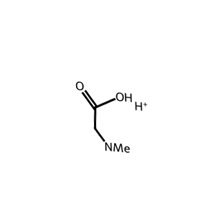 CNCC(=O)O.[H+]